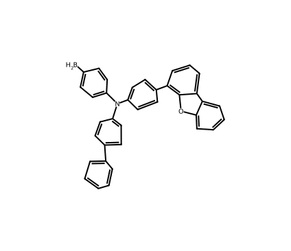 Bc1ccc(N(c2ccc(-c3ccccc3)cc2)c2ccc(-c3cccc4c3oc3ccccc34)cc2)cc1